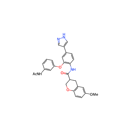 COc1ccc2c(c1)CC(C(=O)Nc1ccc(-c3cn[nH]c3)cc1Oc1cccc(NC(C)=O)c1)CO2